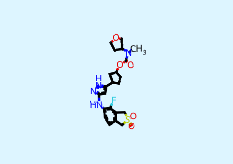 CN(C(=O)OC1CCC(c2cc(Nc3ccc4c(c3F)CS(=O)(=O)C4)n[nH]2)C1)C1CCOC1